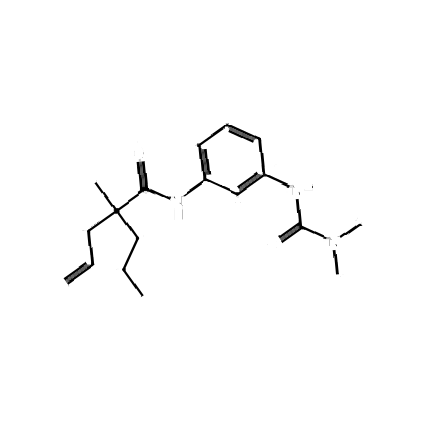 C=CCC(C)(CCC)C(=O)Nc1cccc(NC(=O)N(C)C)c1